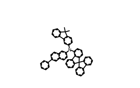 CC1(C)c2ccccc2-c2cc(N(c3ccc4cc(-c5ccccc5)ccc4c3)c3cccc4c3-c3ccccc3C43c4ccccc4-c4ccccc43)ccc21